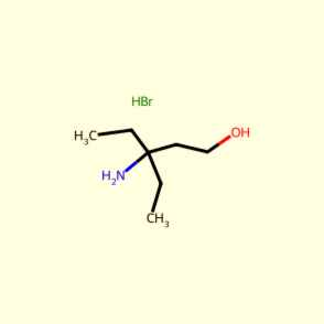 Br.CCC(N)(CC)CCO